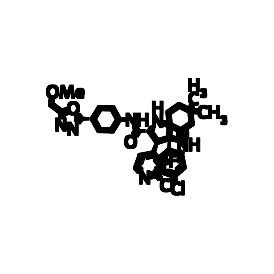 COCc1nnc([C@H]2CC[C@H](NC(=O)[C@@H]3NC4(CCC(C)(C)CC4)[C@@]4(C(=O)Nc5cc(Cl)ccc54)[C@H]3c3ccnc(Cl)c3F)CC2)o1